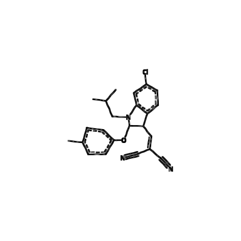 Cc1ccc(OC2C(C=C(C#N)C#N)c3ccc(Cl)cc3N2CC(C)C)cc1